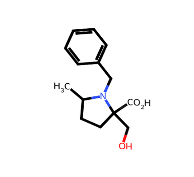 CC1CCC(CO)(C(=O)O)N1Cc1ccccc1